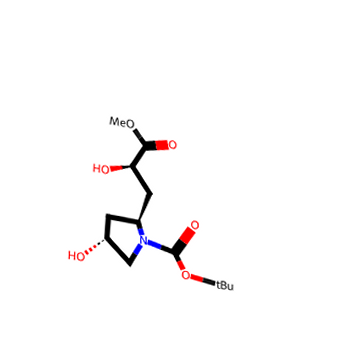 COC(=O)[C@H](O)C[C@@H]1C[C@@H](O)CN1C(=O)OC(C)(C)C